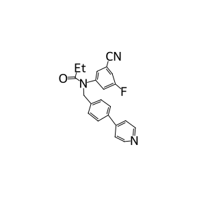 CCC(=O)N(Cc1ccc(-c2ccncc2)cc1)c1cc(F)cc(C#N)c1